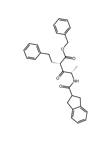 C[C@H](NC(=O)C1Cc2ccccc2C1)C(=O)[C@H](CCc1ccccc1)C(=O)OCc1ccccc1